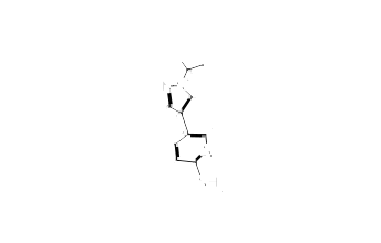 Nc1ccc(-c2cnn(C(F)F)c2)cn1